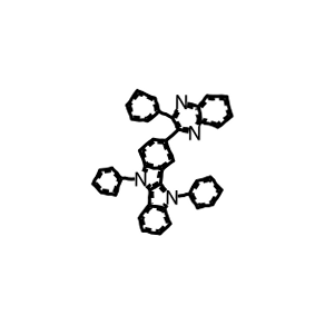 c1ccc(-c2nc3ccccc3nc2-c2ccc3c(c2)c2c(c4ccccc4n2-c2ccccc2)n3-c2ccccc2)cc1